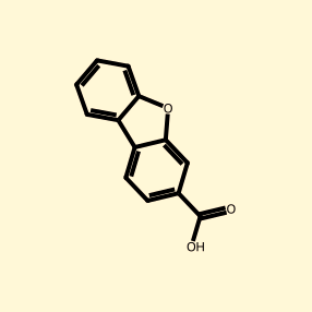 O=C(O)c1ccc2c(c1)oc1ccccc12